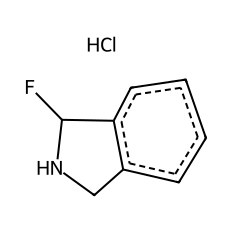 Cl.FC1NCc2ccccc21